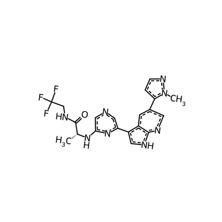 C[C@@H](Nc1cncc(-c2c[nH]c3ncc(-c4ccnn4C)cc23)n1)C(=O)NCC(F)(F)F